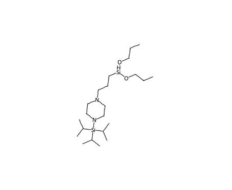 CCCO[SiH](CCCN1CCN([Si](C(C)C)(C(C)C)C(C)C)CC1)OCCC